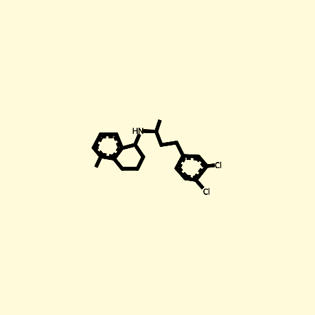 Cc1cccc2c1CCCC2NC(C)CCc1ccc(Cl)c(Cl)c1